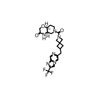 O=C1CO[C@H]2CCN(C(=O)N3CC4(CC(Cc5cn6cc(C(F)(F)F)nc6cn5)C4)C3)C[C@H]2N1